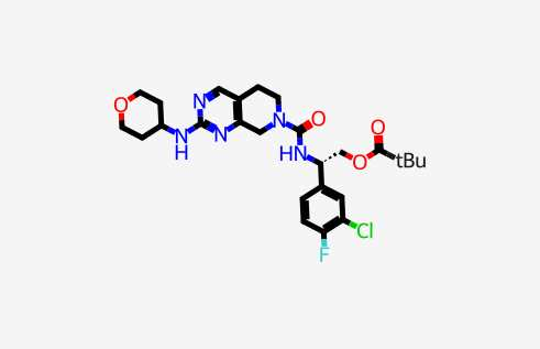 CC(C)(C)C(=O)OC[C@@H](NC(=O)N1CCc2cnc(NC3CCOCC3)nc2C1)c1ccc(F)c(Cl)c1